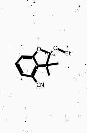 CCO[C@H]1Oc2cccc(C#N)c2C1(C)C